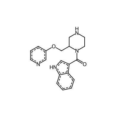 O=C(c1c[nH]c2ccccc12)N1CCNCC1COc1cccnc1